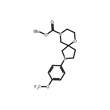 CC(C)(C)OC(=O)N1CCOC2(CCN(c3ccc(OC(F)(F)F)cc3)C2)C1